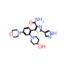 NC(=O)c1nc(-c2cn[nH]c2)sc1-c1ccc(N2CCOCC2)cc1N1CCC(O)CC1